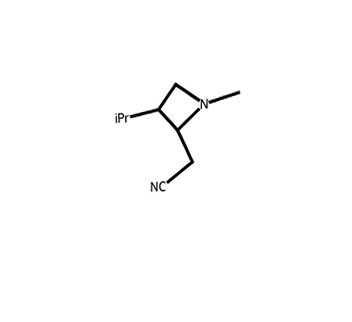 CC(C)C1CN(C)C1CC#N